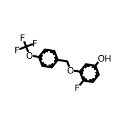 Oc1ccc(F)c(OCc2ccc(OC(F)(F)F)cc2)c1